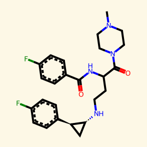 CN1CCN(C(=O)C(CCN[C@@H]2C[C@H]2c2ccc(F)cc2)NC(=O)c2ccc(F)cc2)CC1